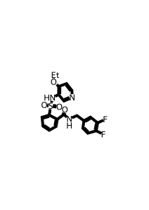 CCOc1ccncc1NS(=O)(=O)c1ccccc1C(=O)NCc1ccc(F)c(F)c1